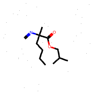 C=NC(C)(CCCC)C(=O)OCC(C)C